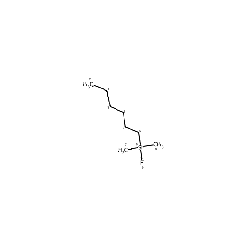 CCCCCC[Si](C)(C)F